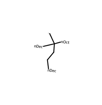 [CH2]C(CCCCCCCC)(CCCCCCCCCC)CCCCCCCCCCCC